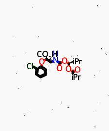 CC(C)C(=O)O[C@@H](OC(=O)NC[C@H](Oc1ccccc1Cl)C(=O)O)C(C)C